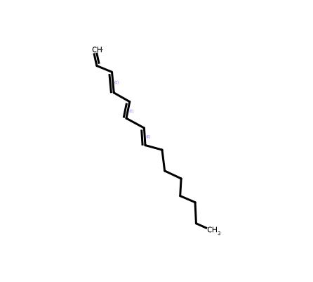 [CH]=C/C=C/C=C/C=C/CCCCCCC